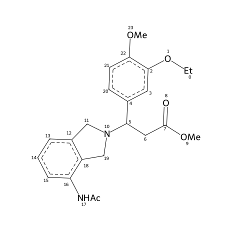 CCOc1cc(C(CC(=O)OC)N2Cc3cccc(NC(C)=O)c3C2)ccc1OC